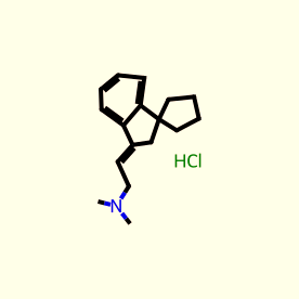 CN(C)CC=C1CC2(CCCC2)c2ccccc21.Cl